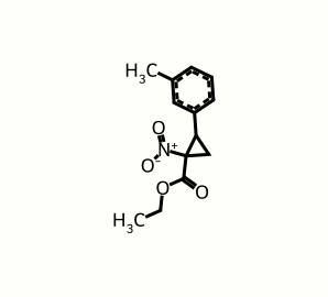 CCOC(=O)C1([N+](=O)[O-])CC1c1cccc(C)c1